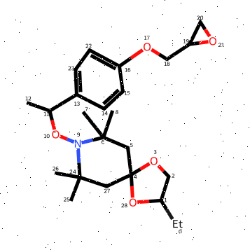 CCC1COC2(CC(C)(C)N(OC(C)c3ccc(OCC4CO4)cc3)C(C)(C)C2)O1